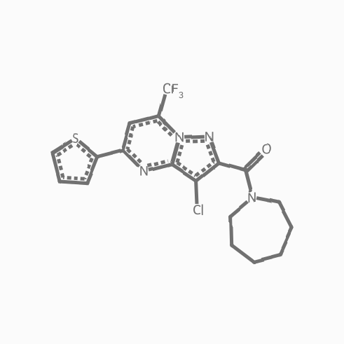 O=C(c1nn2c(C(F)(F)F)cc(-c3cccs3)nc2c1Cl)N1CCCCCC1